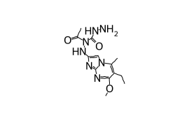 CCc1c(OC)nc2nc(NN(C(C)=O)C(=O)NN)cn2c1C